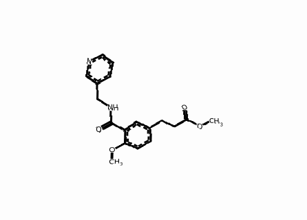 COC(=O)CCc1ccc(OC)c(C(=O)NCc2cccnc2)c1